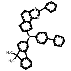 CC1(C)c2ccccc2-c2cc(N(c3ccc(-c4ccccc4)cc3)c3ccc4ccc5oc(-c6ccccc6)nc5c4c3)ccc21